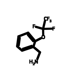 NCc1ccccc1OC(F)(F)C(F)(F)F